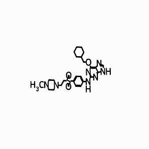 CN1CCN(CCS(=O)(=O)c2ccc(Nc3nc(OCC4CCCCC4)c4nc[nH]c4n3)cc2)CC1